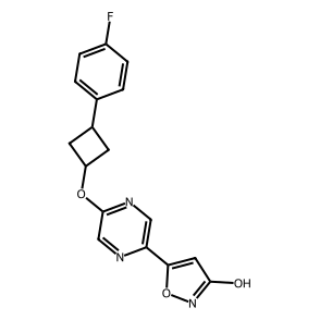 Oc1cc(-c2cnc(OC3CC(c4ccc(F)cc4)C3)cn2)on1